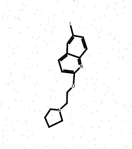 Ic1ccc2nc(OCCN3CCCC3)ccc2c1